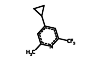 Cc1cc(C2CC2)cc(C(F)(F)F)n1